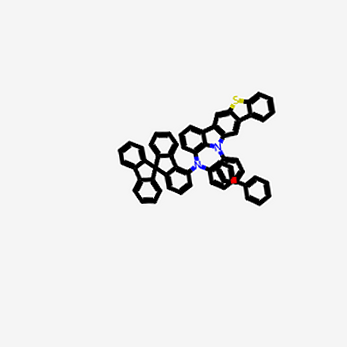 c1ccc(-c2ccc(N(c3cccc4c3-c3ccccc3C43c4ccccc4-c4ccccc43)c3cccc4c5cc6sc7ccccc7c6cc5n(-c5ccccc5)c34)cc2)cc1